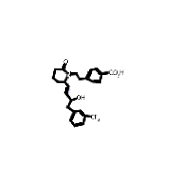 O=C(O)c1ccc(CCN2C(=O)CCCC2/C=C/C(O)Cc2cccc(C(F)(F)F)c2)cc1